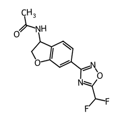 CC(=O)NC1COc2cc(-c3noc(C(F)F)n3)ccc21